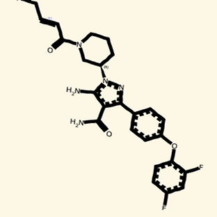 NC(=O)c1c(-c2ccc(Oc3ccc(F)cc3F)cc2)nn([C@@H]2CCCN(C(=O)/C=C/CF)C2)c1N